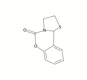 O=C1Oc2ccccc2C2SCCN12